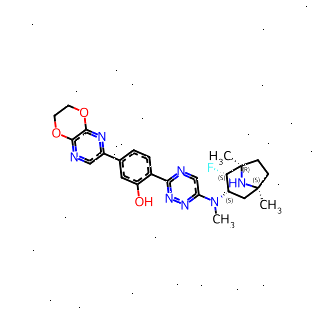 CN(c1cnc(-c2ccc(-c3cnc4c(n3)OCCO4)cc2O)nn1)[C@H]1C[C@]2(C)CC[C@@](C)(N2)[C@H]1F